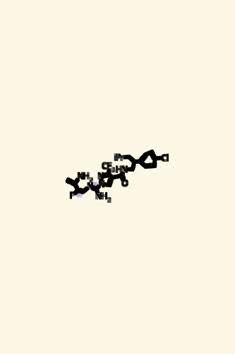 C=C(N)/C(F)=C\N=C(/N)n1cc(C(=O)NCC(CC(C)C)c2ccc(Cl)cc2)c(C(F)(F)F)n1